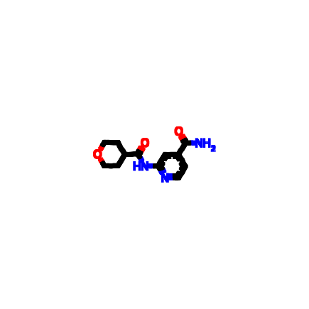 NC(=O)c1ccnc(NC(=O)C2CCOCC2)c1